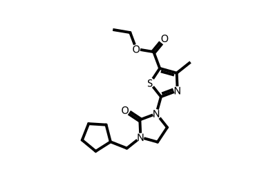 CCOC(=O)c1sc(N2CCN(CC3CCCC3)C2=O)nc1C